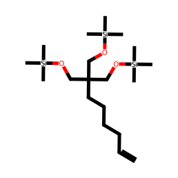 C=CCCCCC(CO[Si](C)(C)C)(CO[Si](C)(C)C)CO[Si](C)(C)C